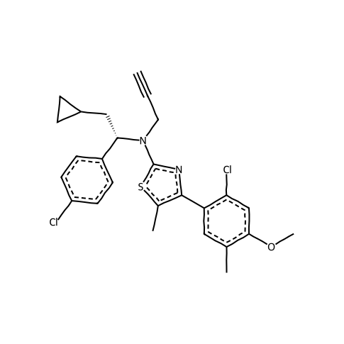 C#CCN(c1nc(-c2cc(C)c(OC)cc2Cl)c(C)s1)[C@@H](CC1CC1)c1ccc(Cl)cc1